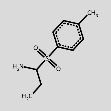 [CH2]CC(N)S(=O)(=O)c1ccc(C)cc1